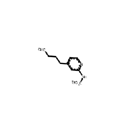 CCOC(=O)Nc1cc(CCCC=O)ccn1